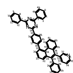 c1ccc(-c2nc(-c3ccccc3)nc(-c3ccc(-c4cccc5c(-c6ccccc6)c(-c6cccnc6)c6ccccc6c45)cc3)n2)cc1